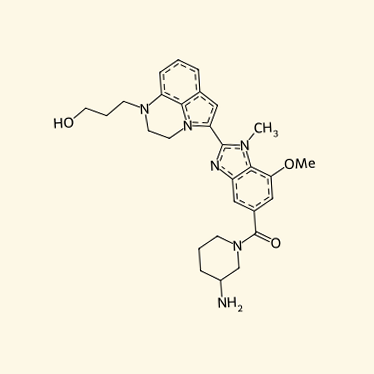 COc1cc(C(=O)N2CCCC(N)C2)cc2nc(-c3cc4cccc5c4n3CCN5CCCO)n(C)c12